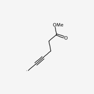 [CH2]C#CCCC(=O)OC